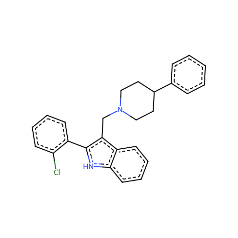 Clc1ccccc1-c1[nH]c2ccccc2c1CN1CCC(c2ccccc2)CC1